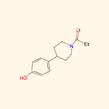 CCC(=O)N1CCC(c2ccc(O)cc2)CC1